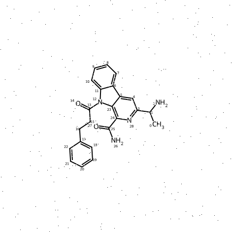 CC(N)c1cc2c3ccccc3n(C(=O)CCc3ccccc3)c2c(C(N)=O)n1